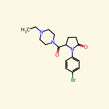 CCN1CCN(C(=O)C2CCC(=O)N2c2ccc(Br)cc2)CC1